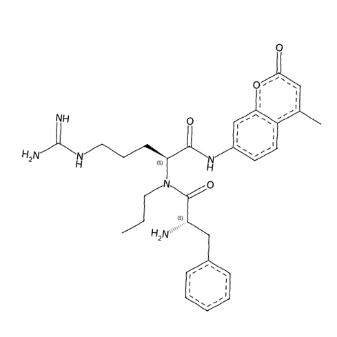 CCCN(C(=O)[C@@H](N)Cc1ccccc1)[C@@H](CCCNC(=N)N)C(=O)Nc1ccc2c(C)cc(=O)oc2c1